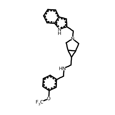 FC(F)(F)Oc1cccc(CNCC2C3CN(Cc4cc5ccccc5[nH]4)CC23)c1